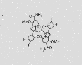 COc1c(C(N)=O)ccc2c1nc(-c1cc(F)c(F)cc1C(=O)O)n2CCn1c(-c2cc(F)c(F)cc2C(=O)O)nc2c(OC)c(C(N)=O)ccc21